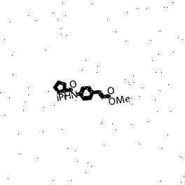 COC(=O)/C=C/c1ccc(NC(=O)C2(C(C)C)CCCC2)cc1